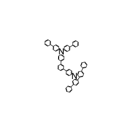 c1ccc(-c2ccc(N(c3ccc(-c4ccccc4)cc3)c3ccc(-c4cccc(-c5ccc(-n6c7cc(-c8ccccc8)ccc7c7ccc(-c8ccccc8)cc76)cc5)c4)cc3)cc2)cc1